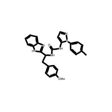 COc1ccc(CC(NC(=O)Nc2ccnn2-c2ccc(C)cc2)c2nc3ccccc3[nH]2)cc1